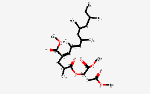 CCC(C)CC(C)CC(C)CC(C)/C=C(C)/C=C(/CC(C)C(=O)O[C@@H](CC(=O)OC(C)(C)C)C(=O)OC(C)(C)C)C(=O)OC(C)(C)C